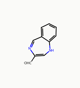 O=[C]C1=CNc2ccccc2C=N1